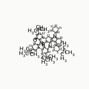 CC(C)(C)c1ccc(N2c3cc(C(C)(C)C)cc4c3B(c3ccc5c(c32)c2ccccc2n5-c2ccccc2)N2c3ccc(C(C)(C)C)cc3Oc3cc(C(C)(C)C)cc-4c32)cc1